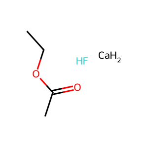 CCOC(C)=O.F.[CaH2]